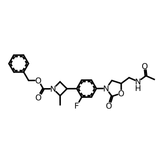 CC(=O)NCC1CN(c2ccc(C3CN(C(=O)OCc4ccccc4)C3C)c(F)c2)C(=O)O1